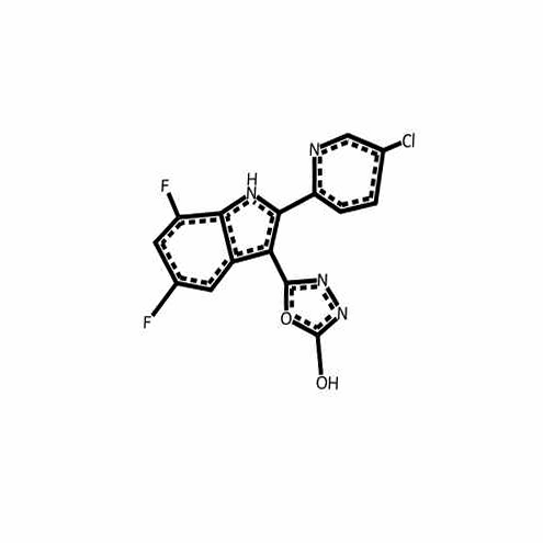 Oc1nnc(-c2c(-c3ccc(Cl)cn3)[nH]c3c(F)cc(F)cc23)o1